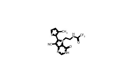 Cc1ccsc1-c1c(C#N)c2nc[nH]c(=O)c2n1CCNC(=O)C(F)(F)F